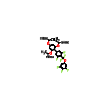 CCCCCC[C@@H](C)Oc1cc(O[C@@H](C)CCCCCC)c(-c2cc(F)c(C(F)(F)Oc3cc(F)c(F)c(F)c3)c(F)c2)c(O[C@@H](C)CCCCCC)c1